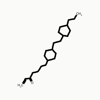 C=CC(=O)CCCCC1CCC(CCC2CCC(CCC)CC2)CC1